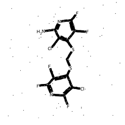 Nc1nc(F)c(F)c(SCSc2c(F)c(F)nc(F)c2Cl)c1Cl